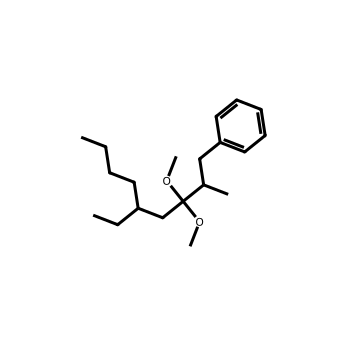 CCCCC(CC)CC(OC)(OC)C(C)Cc1ccccc1